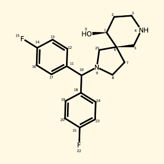 O[C@H]1CCNC[C@]12CCN(C(c1ccc(F)cc1)c1ccc(F)cc1)C2